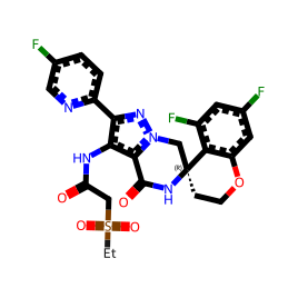 CCS(=O)(=O)CC(=O)Nc1c(-c2ccc(F)cn2)nn2c1C(=O)N[C@@]1(CCOc3cc(F)cc(F)c31)C2